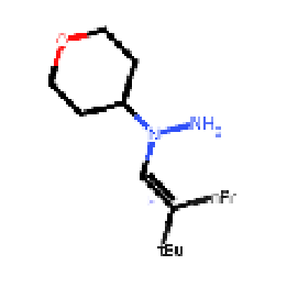 CCC/C(=C\N(N)C1CCOCC1)C(C)(C)C